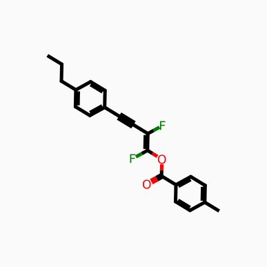 CCCc1ccc(C#CC(F)=C(F)OC(=O)c2ccc(C)cc2)cc1